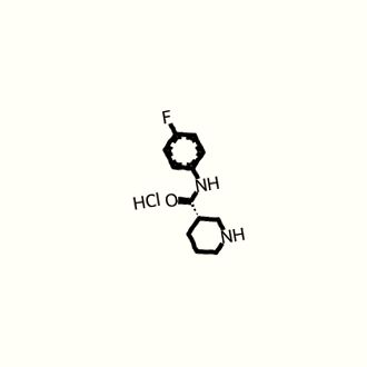 Cl.O=C(Nc1ccc(F)cc1)[C@H]1CCCNC1